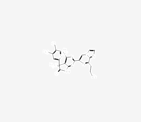 CC(C)CCc1nc(-c2nc(N)c3c(n2)NC(=O)[C@@]3(C)c2cc(O)c(Cl)cn2)cn2ccnc12